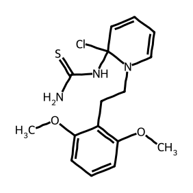 COc1cccc(OC)c1CCN1C=CC=CC1(Cl)NC(N)=S